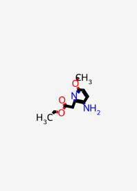 CCOC(=O)Cc1nc(OC)ccc1N